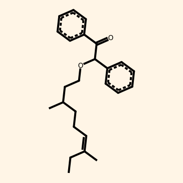 CCC(C)=CCCC(C)CCOC(C(=O)c1ccccc1)c1ccccc1